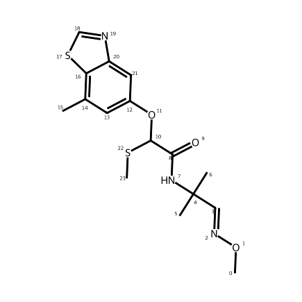 CO/N=C/C(C)(C)NC(=O)C(Oc1cc(C)c2scnc2c1)SC